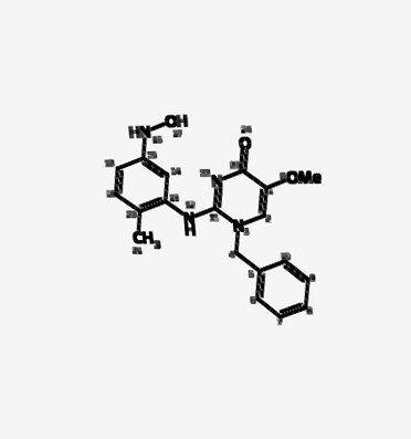 COc1cn(Cc2ccccc2)c(Nc2cc(NO)ccc2C)nc1=O